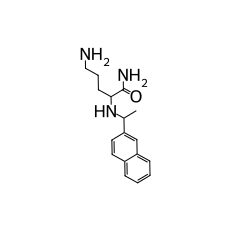 CC(NC(CCCN)C(N)=O)c1ccc2ccccc2c1